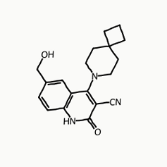 N#Cc1c(N2CCC3(CCC3)CC2)c2cc(CO)ccc2[nH]c1=O